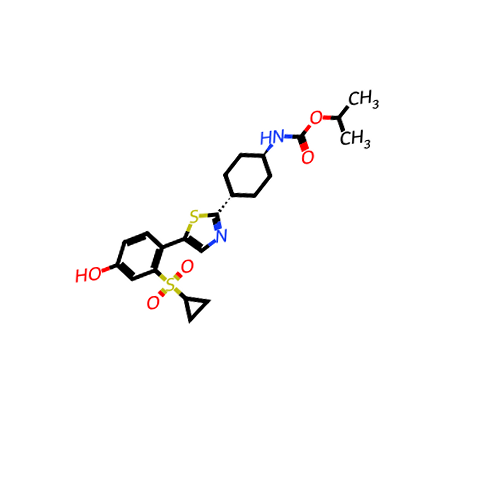 CC(C)OC(=O)N[C@H]1CC[C@H](c2ncc(-c3ccc(O)cc3S(=O)(=O)C3CC3)s2)CC1